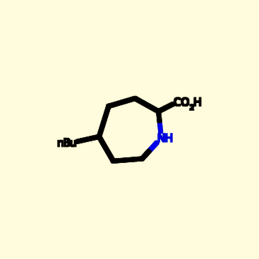 CCCCC1CCNC(C(=O)O)CC1